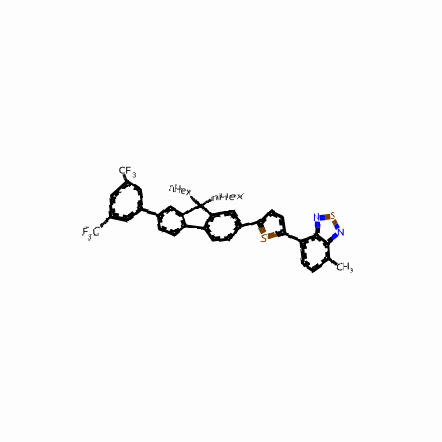 CCCCCCC1(CCCCCC)c2cc(-c3cc(C(F)(F)F)cc(C(F)(F)F)c3)ccc2-c2ccc(-c3ccc(-c4ccc(C)c5nsnc45)s3)cc21